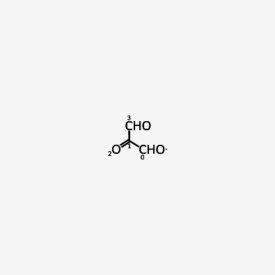 O=[C]C(=O)C=O